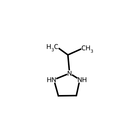 CC(C)N1NCCN1